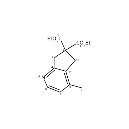 CCOC(=O)C1(C(=O)OCC)Cc2nccc(C)c2C1